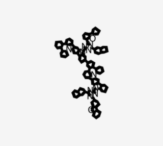 c1ccc2c(c1)-c1ccccc1-n1c3cc4c5ccc(-c6ccc7c(c6)-c6cccc8c9cc%10c(cc9n(c68)-c6ccccc6-7)c6ccccc6n%10-c6nc(-c7ccc8ccccc8c7)nc(-c7ccc8c(c7)oc7ccccc78)n6)cc5n(-c5nc(-c6ccc7ccccc7c6)nc(-c6cccc7c6oc6ccccc67)n5)c4cc3c3cccc-2c31